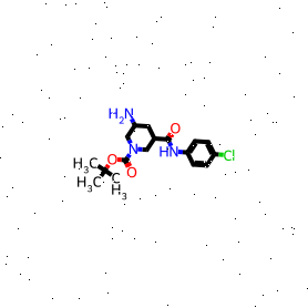 CC(C)(C)OC(=O)N1CC(N)CC(C(=O)Nc2ccc(Cl)cc2)C1